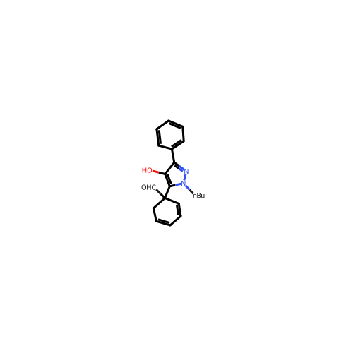 CCCCn1nc(-c2ccccc2)c(O)c1C1(C=O)C=CC=CC1